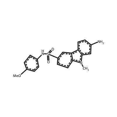 COc1ccc(NS(=O)(=O)c2ccc3c(c2)c2ccc(N)cc2n3C)cc1